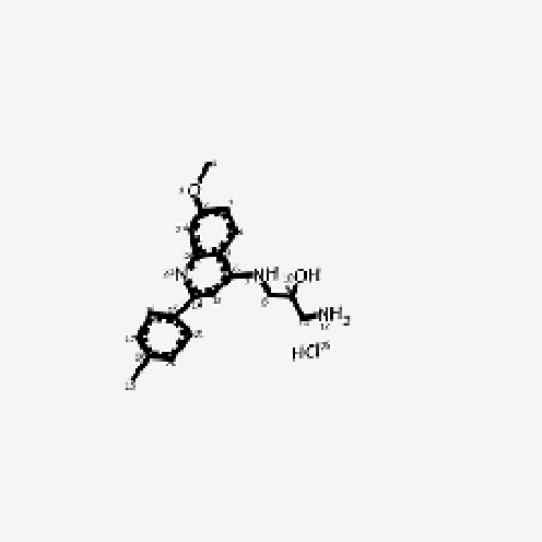 COc1ccc2c(NCC(O)CN)cc(-c3ccc(C)cc3)nc2c1.Cl